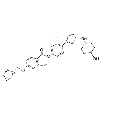 O=C1c2ccc(OC[C@@H]3CCCO3)cc2CCN1c1ccc(N2CCC(N[C@H]3CC[C@H](O)CC3)C2)c(F)c1